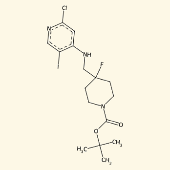 CC(C)(C)OC(=O)N1CCC(F)(CNc2cc(Cl)ncc2I)CC1